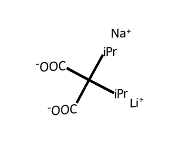 CC(C)C(C(=O)[O-])(C(=O)[O-])C(C)C.[Li+].[Na+]